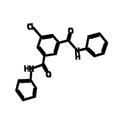 O=C(Nc1ccccc1)c1cc(Cl)cc(C(=O)Nc2ccccc2)c1